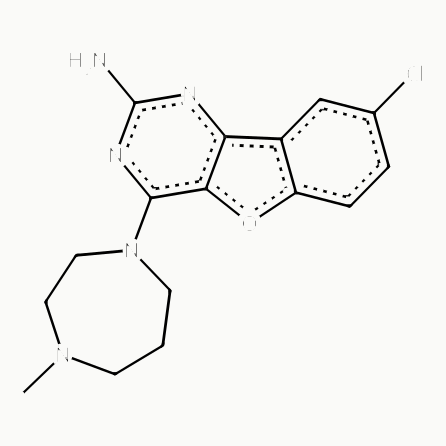 CN1CCCN(c2nc(N)nc3c2oc2ccc(Cl)cc23)CC1